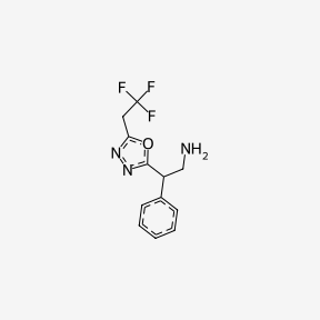 NCC(c1ccccc1)c1nnc(CC(F)(F)F)o1